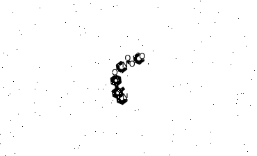 Cc1c(-c2ccc(OC3CCN(C(=O)OC4CCOCC4)CC3)cc2)ccc2cccnc12